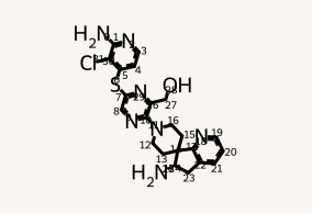 Nc1nccc(Sc2cnc(N3CCC4(CC3)c3ncccc3C[C@H]4N)c(CO)n2)c1Cl